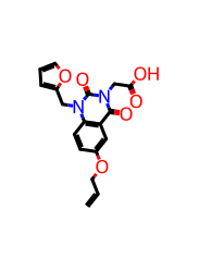 C=CCOc1ccc2c(c1)c(=O)n(CC(=O)O)c(=O)n2Cc1ccco1